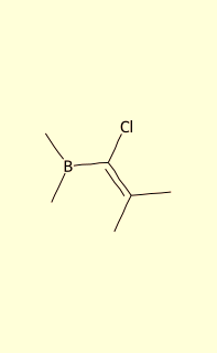 CB(C)C(Cl)=C(C)C